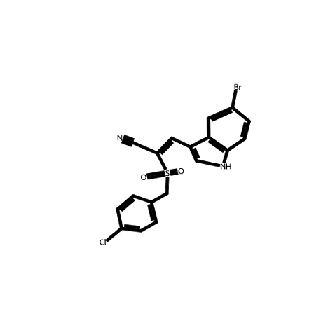 N#CC(=Cc1c[nH]c2ccc(Br)cc12)S(=O)(=O)Cc1ccc(Cl)cc1